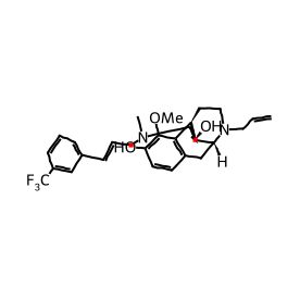 C=CCN1CC[C@]23CC(N(C)C/C=C/c4cccc(C(F)(F)F)c4)CC[C@@]2(O)[C@H]1Cc1ccc(O)c(OC)c13